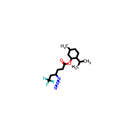 CC1CCC(C(C)C)C(OC(=O)CCC(CC(F)(F)F)N=[N+]=[N-])C1